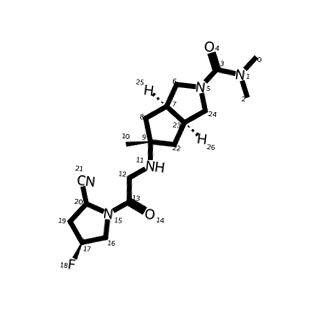 CN(C)C(=O)N1C[C@@H]2C[C@@](C)(NCC(=O)N3C[C@@H](F)CC3C#N)C[C@@H]2C1